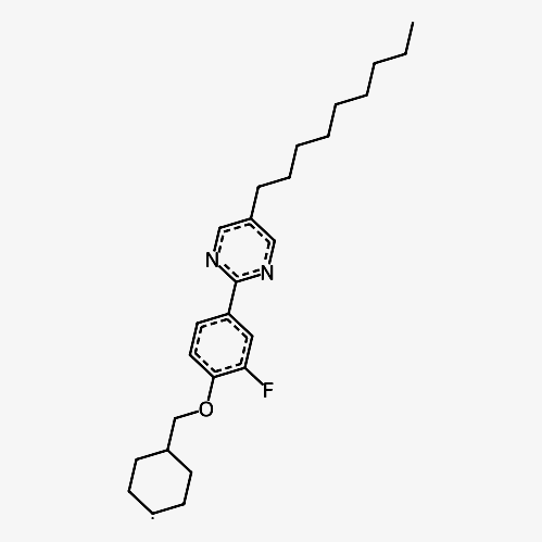 CCCCCCCCCc1cnc(-c2ccc(OCC3CC[CH]CC3)c(F)c2)nc1